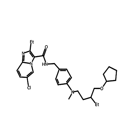 CCc1nc2ccc(Cl)cn2c1C(=O)NCc1ccc(N(C)CCC(CC)COC2CCCC2)cc1